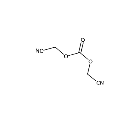 N#CCOC(=O)OCC#N